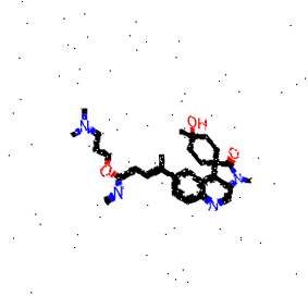 C=N/C(=C\C=C(/C)c1ccc2ncc3c(c2c1)C1(CCC(C)(O)CC1)C(=O)N3C)OCCCN(C)C